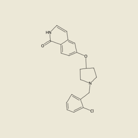 O=c1[nH]ccc2cc(OC3CCN(Cc4ccccc4Cl)CC3)ccc12